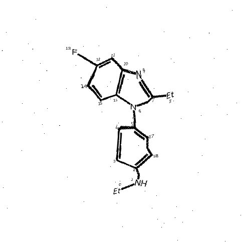 CCNc1ccc(-n2c(CC)nc3cc(F)ccc32)cc1